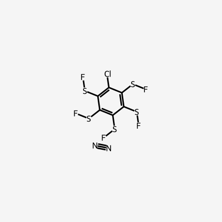 FSc1c(Cl)c(SF)c(SF)c(SF)c1SF.N#N